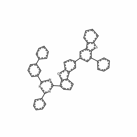 c1ccc(-c2cccc(-c3nc(-c4ccccc4)nc(-c4cccc5c4oc4ccc(-c6cc(-c7ccccc7)c7sc8ccccc8c7c6)cc45)n3)c2)cc1